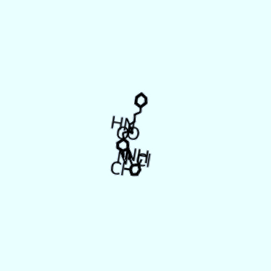 O=C(NCCCc1ccccc1)Oc1ccc2nc(-c3c(Cl)cccc3Cl)[nH]c2c1